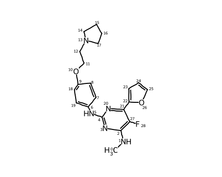 CNc1nc(Nc2ccc(OCCN3CCCC3)cc2)nc(-c2ccco2)c1F